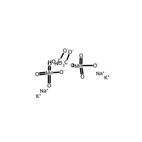 O=C([O-])O.O=C([O-])O.[K+].[K+].[Na+].[Na+].[O]=[Mn](=[O])(=[O])[O-].[O]=[Mn](=[O])(=[O])[O-]